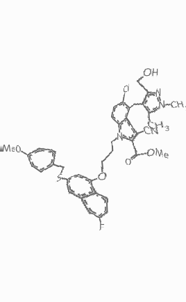 COC(=O)c1c(C#N)c2c(-c3c(CO)nn(C)c3C)c(Cl)ccc2n1CCCOc1cc(SCc2ccc(OC)cc2)cc2cc(F)ccc12